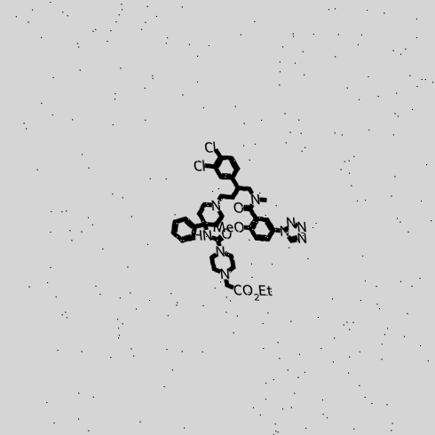 CCOC(=O)CN1CCN(C(=O)NC2(c3ccccc3)CCN(CCC(CN(C)C(=O)c3cc(-n4cnnn4)ccc3OC)c3ccc(Cl)c(Cl)c3)CC2)CC1